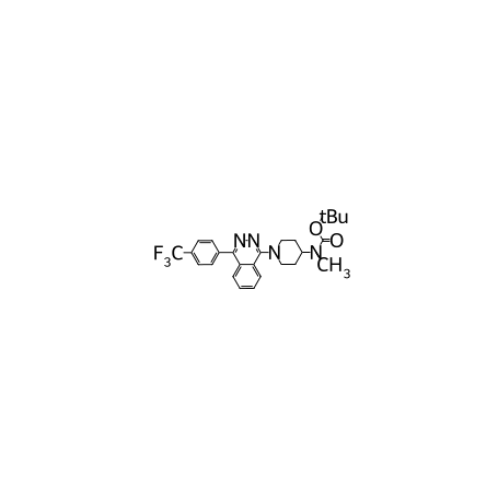 CN(C(=O)OC(C)(C)C)C1CCN(c2nnc(-c3ccc(C(F)(F)F)cc3)c3ccccc23)CC1